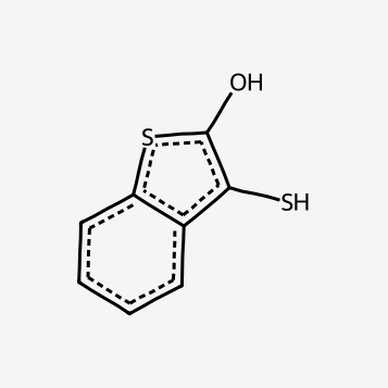 Oc1sc2ccccc2c1S